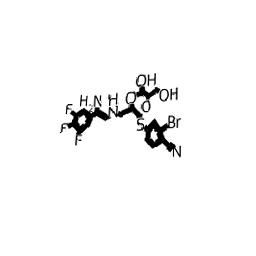 N#Cc1ccc(SC2OC(CO)C(O)OC2CN/C=C(\N)c2cc(F)c(F)c(F)c2)cc1Br